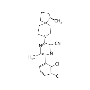 Cc1nc(N2CCC3(CCC[C@H]3C)CC2)c(C#N)nc1-c1cccc(Cl)c1Cl